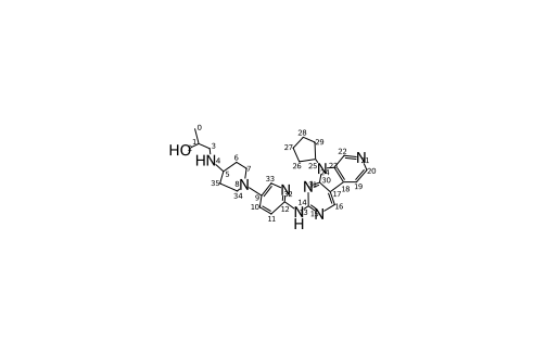 CC(O)CNC1CCN(c2ccc(Nc3ncc4c5ccncc5n(C5CCCC5)c4n3)nc2)CC1